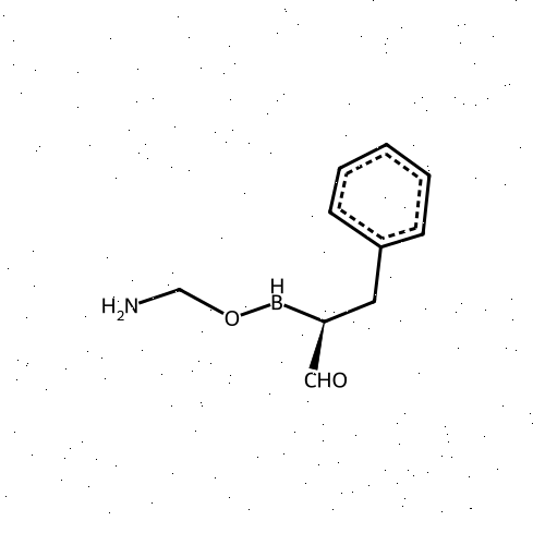 NCOB[C@H](C=O)Cc1ccccc1